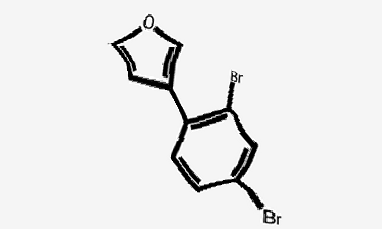 Brc1ccc(-c2c[c]oc2)c(Br)c1